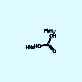 O=S(O)O.[NaH].[PbH2]